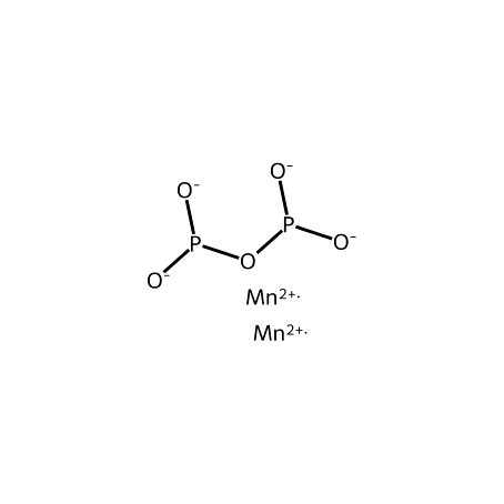 [Mn+2].[Mn+2].[O-]P([O-])OP([O-])[O-]